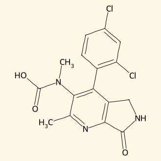 Cc1nc2c(c(-c3ccc(Cl)cc3Cl)c1N(C)C(=O)O)CNC2=O